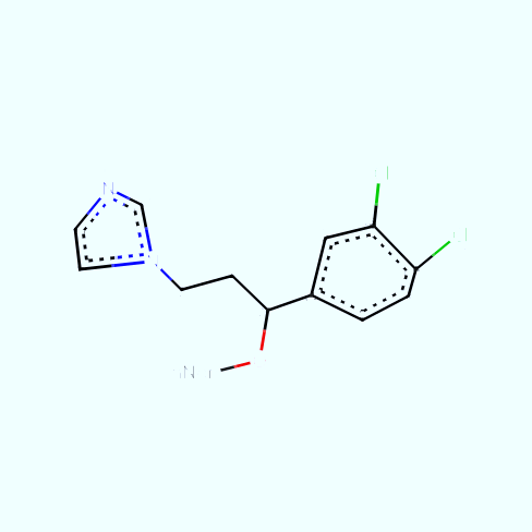 CCCCCCCCCOC(CCn1ccnc1)c1ccc(Cl)c(Cl)c1